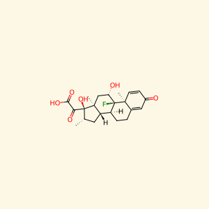 C[C@H]1C[C@H]2[C@@H]3CCC4=CC(=O)C=C[C@]4(C)[C@@]3(F)[C@@H](O)C[C@]2(C)[C@@]1(O)C(=O)C(=O)O